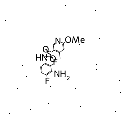 COc1cc(C)c(S(=O)(=O)Nc2ccc(F)c(N)c2F)cn1